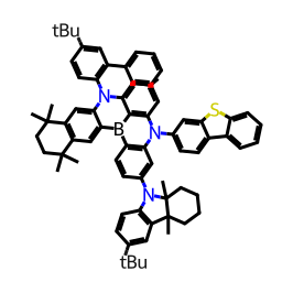 Cc1cc2c3c(c1)N(c1ccc(C(C)(C)C)cc1-c1ccccc1)c1cc4c(cc1B3c1ccc(N3c5ccc(C(C)(C)C)cc5C5(C)CCCCC35C)cc1N2c1ccc2c(c1)sc1ccccc12)C(C)(C)CCC4(C)C